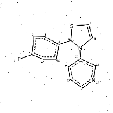 Fc1ccc(C2SC=CN2c2cccnc2)cc1